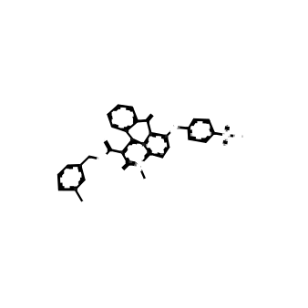 Cc1cccc(COC(=O)c2c3c4c(c(Nc5ccc(S(=O)(=O)O)cc5)ccc4n(C)c2=O)C(=O)c2ccccc2-3)c1